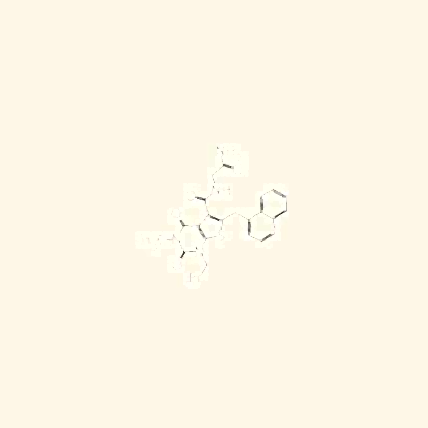 CC(C)Cn1c(=O)n(C)c(=O)c2c(C(=O)NCC(N)=O)c(Cc3cccc4ccccc34)sc21